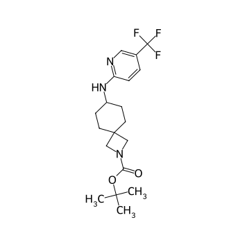 CC(C)(C)OC(=O)N1CC2(CCC(Nc3ccc(C(F)(F)F)cn3)CC2)C1